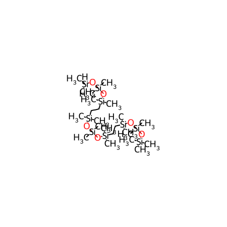 C[SiH](C)O[Si](C)(C)O[Si](C)(C)CC[Si](C)(C)O[Si](C)(C)O[Si](C)(C)CC[Si](C)(C)O[Si](C)(C)O[Si](C)(C)C